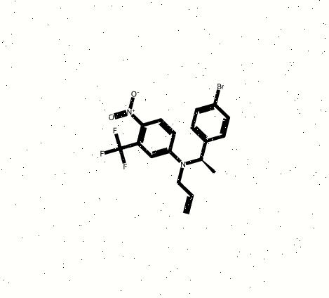 C=CCN(c1ccc([N+](=O)[O-])c(C(F)(F)F)c1)[C@H](C)c1ccc(Br)cc1